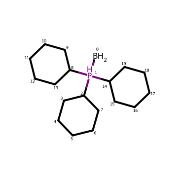 B[PH](C1CCCCC1)(C1CCCCC1)C1CCCCC1